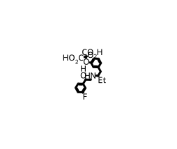 CCC(Cc1ccc2c(c1)OC(C(=O)O)(C(=O)O)O2)NCC(O)c1cccc(F)c1